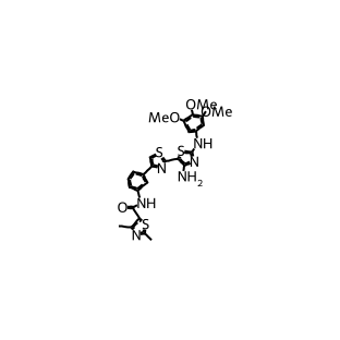 COc1cc(Nc2nc(N)c(-c3nc(-c4cccc(NC(=O)c5sc(C)nc5C)c4)cs3)s2)cc(OC)c1OC